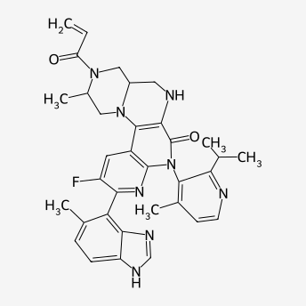 C=CC(=O)N1CC2CNc3c(c4cc(F)c(-c5c(C)ccc6[nH]cnc56)nc4n(-c4c(C)ccnc4C(C)C)c3=O)N2CC1C